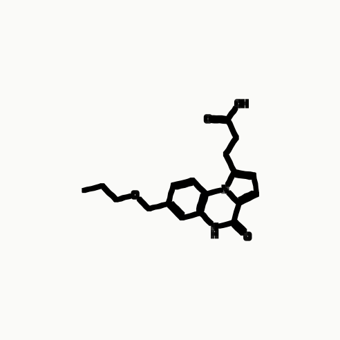 CCCOCc1ccc2c(c1)[nH]c(=O)c1ccc(CCC(=O)O)n12